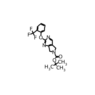 CC(C)(C)OC(=O)N1Cc2cnc(Oc3ccccc3C(F)(F)F)nc2C1